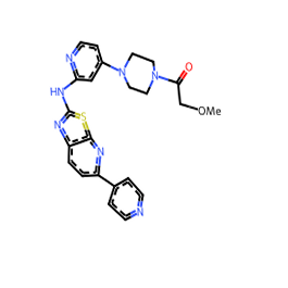 COCC(=O)N1CCN(c2ccnc(Nc3nc4ccc(-c5ccncc5)nc4s3)c2)CC1